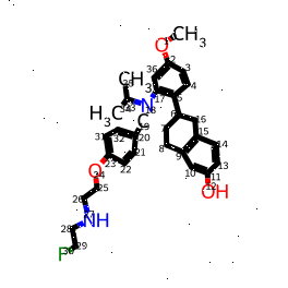 COc1ccc(C2CCc3cc(O)ccc3C2)c(N(Cc2ccc(OCCNCCF)cc2)C(C)C)c1